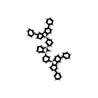 O=c1n(-c2cccc(-n3c4ccc(-c5ccccc5)cc4c4cc(-c5ccccc5)ccc43)c2)c2ccccc2n1-c1cccc(-n2c3ccc(-c4ccccc4)cc3c3cc(-c4ccccc4)ccc32)c1